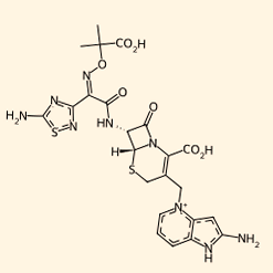 CC(C)(O/N=C(\C(=O)N[C@@H]1C(=O)N2C(C(=O)O)=C(C[n+]3cccc4[nH]c(N)cc43)CS[C@H]12)c1nsc(N)n1)C(=O)O